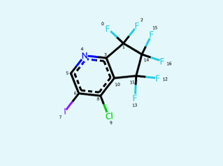 FC1(F)c2ncc(I)c(Cl)c2C(F)(F)C1(F)F